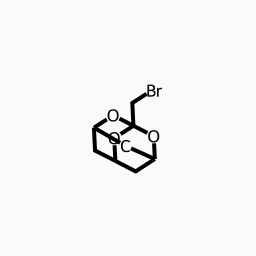 BrCC12OC3CC(CC(C3)O1)O2